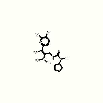 CN(N)/C(CNC(=O)N(C)C1CCCC1)=C(\N)c1ccc(O)c(C(F)(F)F)n1